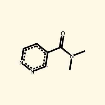 CN(C)C(=O)c1[c]nncc1